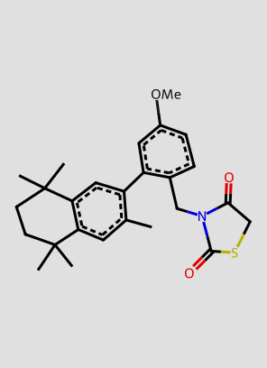 COc1ccc(CN2C(=O)CSC2=O)c(-c2cc3c(cc2C)C(C)(C)CCC3(C)C)c1